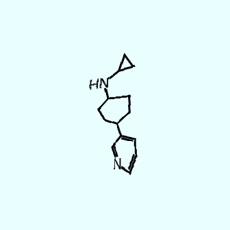 c1cncc(C2CCC(NC3CC3)CC2)c1